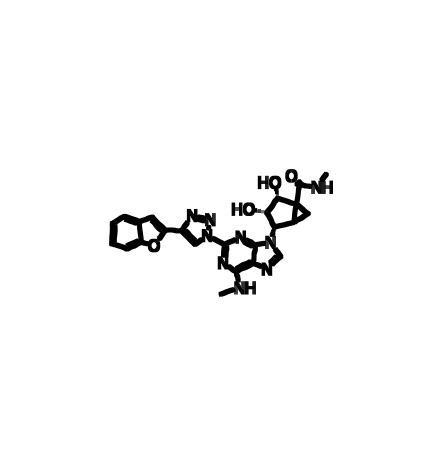 CNC(=O)C12CC1[C@@H](n1cnc3c(NC)nc(-n4cc(-c5cc6ccccc6o5)nn4)nc31)[C@H](O)[C@@H]2O